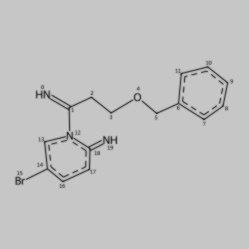 N=C(CCOCc1ccccc1)n1cc(Br)ccc1=N